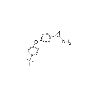 CC(C)(C)c1ccc(Oc2ccc(C3CC3N)cc2)cc1